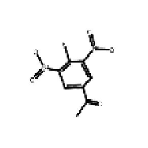 CC(=O)c1cc([N+](=O)[O-])c(F)c([N+](=O)[O-])c1